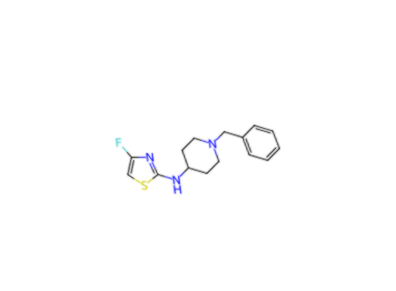 Fc1csc(NC2CCN(Cc3ccccc3)CC2)n1